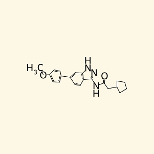 COc1ccc(-c2ccc3c(NC(=O)CC4CCCC4)n[nH]c3c2)cc1